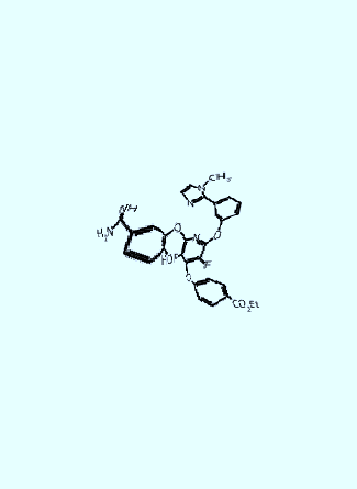 CCOC(=O)c1ccc(Oc2c(F)c(Oc3cccc(-c4nccn4C)c3)nc(Oc3cc(C(=N)N)ccc3O)c2F)cc1